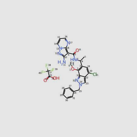 CCOc1c(C(C)NC(=O)c2c(N)nn3cccnc23)cc(Cl)c2cn(Cc3ccccc3)nc12.O=C(O)C(F)(F)F